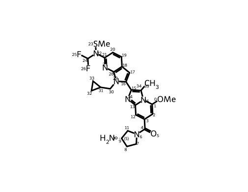 COc1cc(C(=O)N2CC[C@H](N)C2)cc2nc(-c3cc4ccc(N(SC)C(F)F)nc4n3CC3CC3)c(C)n12